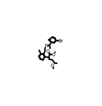 COC(=O)/C(=C\CC(C)OC)c1cccc(C)c1CC/N=C(\C)c1cccc(Br)c1